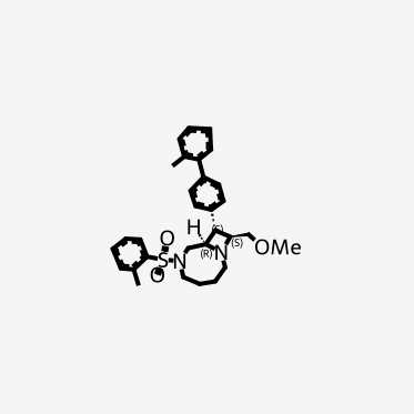 COC[C@@H]1[C@@H](c2ccc(-c3ccccc3C)cc2)[C@@H]2CN(S(=O)(=O)c3ccccc3C)CCCCN12